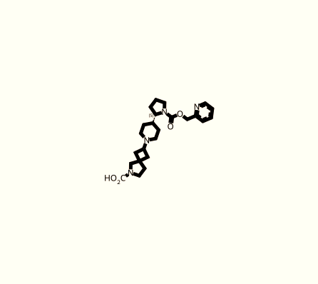 O=C(O)N1CCC2(CC(N3CCC([C@@H]4CCCN4C(=O)OCc4ccccn4)CC3)C2)C1